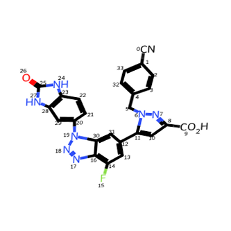 N#Cc1ccc(Cn2nc(C(=O)O)cc2-c2cc(F)c3nnn(-c4ccc5[nH]c(=O)[nH]c5c4)c3c2)cc1